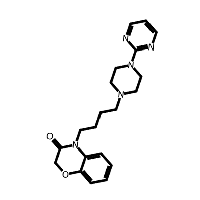 O=C1COc2ccccc2N1CCCCN1CCN(c2ncccn2)CC1